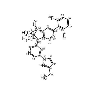 CC1(C)[C@@H]2CC[C@@]1(c1cncc(-n3ccc(CO)n3)n1)c1nnc(-c3c(F)cccc3F)cc12